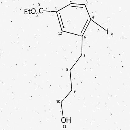 CCOC(=O)c1ccc(I)c(CCCCO)c1